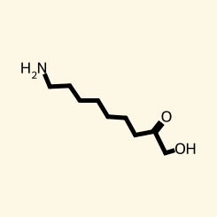 NCCCCCCCC(=O)CO